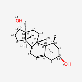 C[C@H]1C[C@@H](O)CC2=CC[C@H]3[C@@H]4CC[C@H](O)[C@@]4(C)CC[C@@H]3[C@]21C